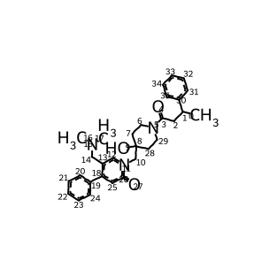 CC(CC(=O)N1CCC(O)(Cn2cc(CN(C)C)c(-c3ccccc3)cc2=O)CC1)c1ccccc1